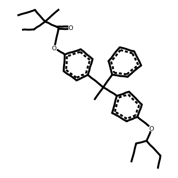 CCC(CC)Oc1ccc(C(C)(c2ccccc2)c2ccc(OC(=O)C(C)(CC)CC)cc2)cc1